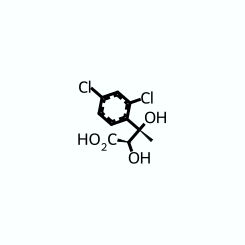 C[C@](O)(c1ccc(Cl)cc1Cl)[C@@H](O)C(=O)O